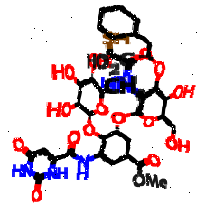 COC(=O)C1CC(NC(=O)c2cc(=O)[nH]c(=O)[nH]2)C(O[C@@H]2OC(C)[C@@H](O)C(O)C2O)[C@H](O[C@@H]2OC(CO)[C@H](O)C(O[C@@H](CC3CCCCC3)C(=O)O)C2NC(=O)CS)C1